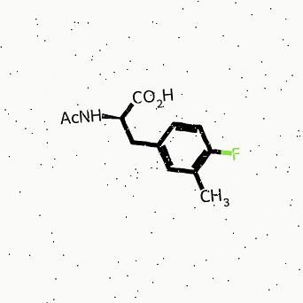 CC(=O)N[C@H](Cc1ccc(F)c(C)c1)C(=O)O